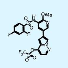 COc1ncc(-c2cc3c(OS(=O)(=O)C(F)(F)F)ccnn3c2)cc1NS(=O)(=O)c1ccc(F)cc1F